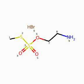 Br.CSS(=O)(=O)OCCN